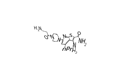 CCCc1cc(N2CCN(C(=O)CCN)CC2)nc2sc(C(N)=O)c(N)c12